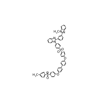 Cc1ccc(S(=O)(=O)c2ccc(Oc3ccc(-c4ccc(Oc5ccc(S(=O)(=O)c6ccc(-n7c(-c8cccc(-c9nc%10ccccc%10n9C)c8)nc8ccccc87)cc6)cc5)cc4)cc3)cc2)cc1